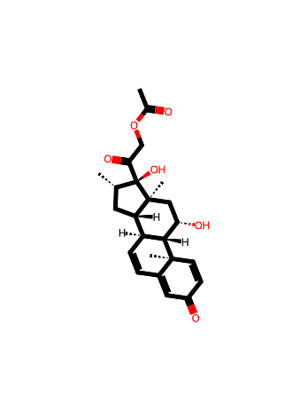 CC(=O)OCC(=O)[C@@]1(O)[C@@H](C)C[C@H]2[C@@H]3C=CC4=CC(=O)C=C[C@]4(C)[C@H]3[C@@H](O)C[C@@]21C